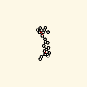 c1ccc(-c2c3ccccc3c(-c3cccc4oc5ccc(-c6ccc(-c7ccc8c(c7)cc(-c7cccc(-c9c%10ccccc%10c(-c%10cccc%11oc%12cc(-c%13ccc%14ccccc%14c%13)ccc%12c%10%11)c%10ccccc9%10)c7)c7ccccc78)cc6)cc5c34)c3ccccc23)cc1